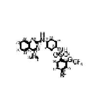 CN(C)c1nc(N[C@H]2CC[C@H](NS(=O)(=O)c3ccc(Br)cc3OC(F)(F)F)CC2)nc2ccccc12